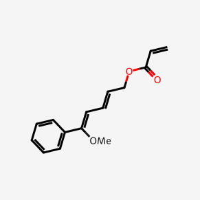 C=CC(=O)OCC=CC=C(OC)c1ccccc1